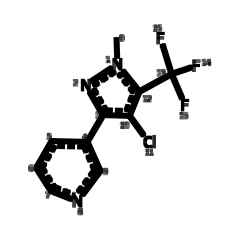 Cn1nc(-c2cccnc2)c(Cl)c1C(F)(F)F